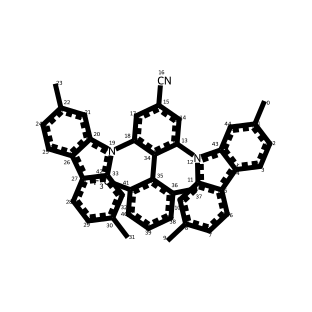 Cc1ccc2c3ccc(C)cc3n(-c3cc(C#N)cc(-n4c5cc(C)ccc5c5ccc(C)cc54)c3-c3c(C)cccc3C(F)(F)F)c2c1